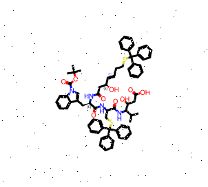 CC(C)C(NC(=O)C(CSC(c1ccccc1)(c1ccccc1)c1ccccc1)NC(=O)[C@@H](Cc1cn(C(=O)OC(C)(C)C)c2ccccc12)NC(=O)C[C@H](O)/C=C/CCSC(c1ccccc1)(c1ccccc1)c1ccccc1)C(O)CC(=O)O